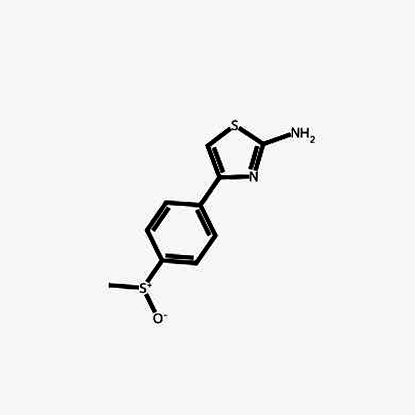 C[S+]([O-])c1ccc(-c2csc(N)n2)cc1